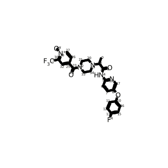 CC(C(=O)Nc1ccc(Oc2ccc(F)cc2)cn1)N1CCN(C(=O)c2cc[n+]([O-])c(C(F)(F)F)c2)CC1